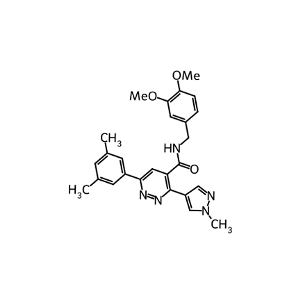 COc1ccc(CNC(=O)c2cc(-c3cc(C)cc(C)c3)nnc2-c2cnn(C)c2)cc1OC